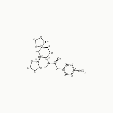 CN(C(=O)Cc1ccc([N+](=O)[O-])cc1)[C@H]1CC[C@]2(CCCO2)C[C@@H]1N1CCCC1